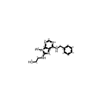 CC(C)n1c(NCCO)nc2c(NCc3ccccc3)ncnc21